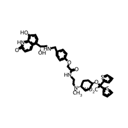 CN(CCNC(=O)COc1ccc(CNC[C@H](O)c2ccc(O)c3[nH]c(=O)ccc23)cc1)[C@H]1CC[C@H](OC(C(=O)O)(c2cccs2)c2cccs2)CC1